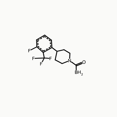 BC(=O)N1CCC(c2cccc(F)c2C(F)(F)F)CC1